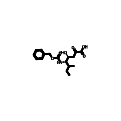 CCC(C)[C@H](NC(=O)OCc1ccccc1)[C@H](O)CC(=O)C(=O)O